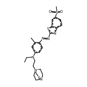 CCN(CC[N+]12CCN(CC1)CC2)c1ccc(N=Nc2nc3ccc(S(C)(=O)=O)cc3s2)c(C)c1